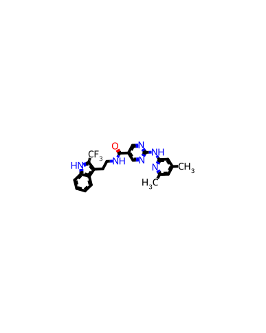 Cc1cc(C)nc(Nc2ncc(C(=O)NCCc3c(C(F)(F)F)[nH]c4ccccc34)cn2)c1